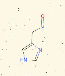 O=NCc1c[nH]cn1